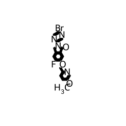 COc1ccc(COc2cc3c(cc2F)CN(c2cnc(Br)cn2)C3=O)nc1